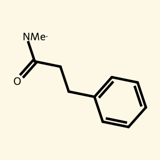 C[N]C(=O)CCc1ccccc1